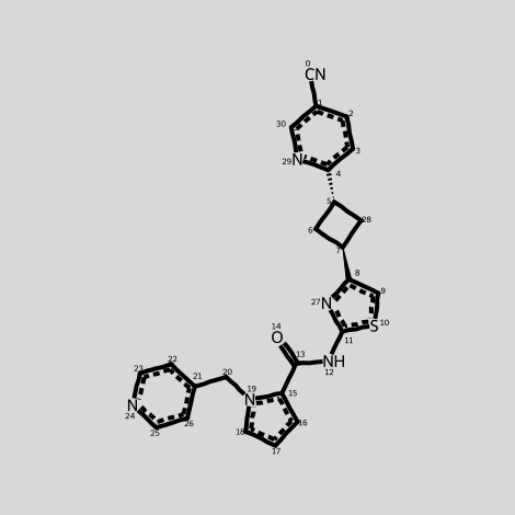 N#Cc1ccc([C@H]2C[C@H](c3csc(NC(=O)c4cccn4Cc4ccncc4)n3)C2)nc1